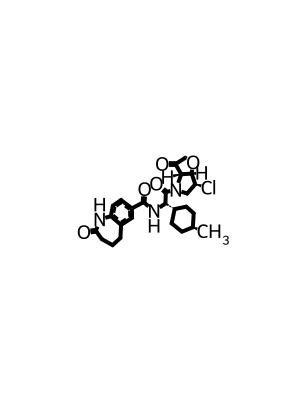 C[C@H]1CC[C@H](C(NC(=O)c2ccc3c(c2)CCCC(=O)N3)C(=O)N2C[C@H](Cl)[C@H]3OCC(=O)[C@H]32)CC1